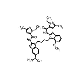 CCn1nc(C)cc1C(=O)Nc1nc2cc(C(N)O)ccc2n1CCCCn1c(NC(=O)c2cc(C)nn2CC)nc2cccc(OC)c21